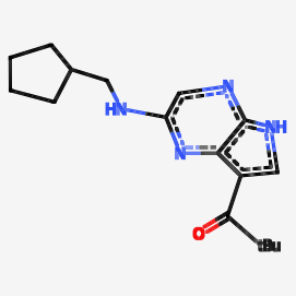 CC(C)(C)C(=O)c1c[nH]c2ncc(NCC3CCCC3)nc12